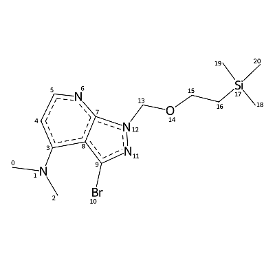 CN(C)c1ccnc2c1c(Br)nn2COCC[Si](C)(C)C